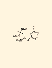 CNC(CC(C)(NC)NC)Oc1cc(Cl)ncn1